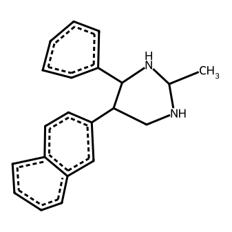 CC1NCC(c2ccc3ccccc3c2)C(c2ccccc2)N1